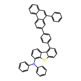 c1ccc(-c2cc3ccccc3c3ccc(-c4ccc(-c5cccc6sc7c(N(c8ccccc8)c8ccccc8)cccc7c56)cc4)cc23)cc1